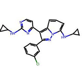 Clc1cccc(-c2nn3c(NC4CC4)cccc3c2-c2ccnc(NC3CC3)n2)c1